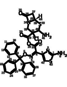 Nc1nc(C(=NOC(c2ccccc2)(c2ccccc2)c2ccccc2)C(=O)OC(=O)C2(Cl)CN3C(=O)C[C@H]3SC2N)cs1